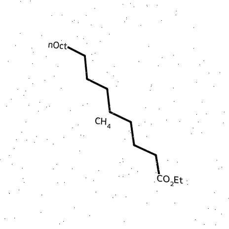 C.CCCCCCCCCCCCCCCC(=O)OCC